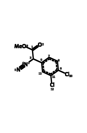 COC(=O)C([N+]#N)c1ccc(Cl)c(Cl)c1